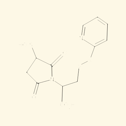 O=C(O)C(CSSc1ccccn1)N1C(=O)CC(S(=O)(=O)O)C1=O